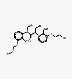 COc1c(OCCC(C)(C)C)cccc1C(CBr)C(=O)C(CBr)c1cccc(OCCC(C)(C)C)c1OC